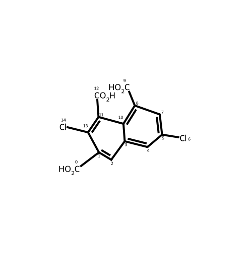 O=C(O)c1cc2cc(Cl)cc(C(=O)O)c2c(C(=O)O)c1Cl